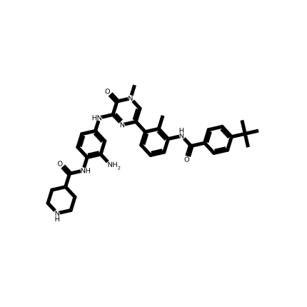 Cc1c(NC(=O)c2ccc(C(C)(C)C)cc2)cccc1-c1cn(C)c(=O)c(Nc2ccc(NC(=O)C3CCNCC3)c(N)c2)n1